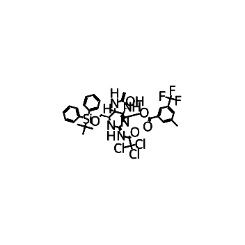 C=C1N[C@H]2[C@H](CO[Si](c3ccccc3)(c3ccccc3)C(C)(C)C)N/C(=N/C(=O)C(Cl)(Cl)Cl)N3CC(OC(=O)c4cc(C)cc(C(F)(F)F)c4)[C@H](O)C23N1